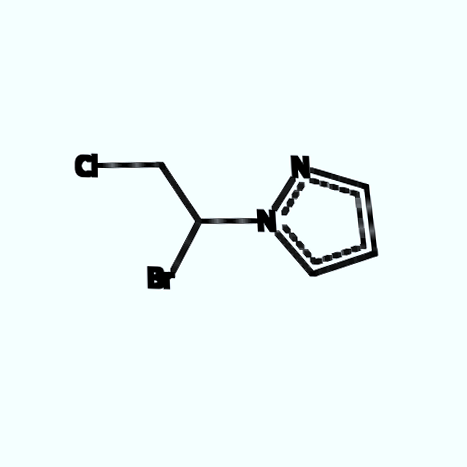 ClCC(Br)n1cccn1